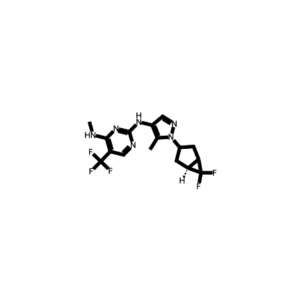 CNc1nc(Nc2cnn(C3CC4[C@H](C3)C4(F)F)c2C)ncc1C(F)(F)F